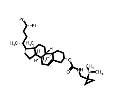 CC[C@H](CC[C@@H](C)[C@H]1CC[C@H]2[C@@H]3CC=C4C[C@@H](OC(=O)NCC5(N(C)C)CC5)CC[C@]4(C)[C@H]3CC[C@]12C)C(C)C